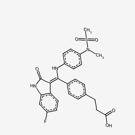 CN(c1ccc(N/C(=C2\C(=O)Nc3cc(F)ccc32)c2ccc(CCC(=O)O)cc2)cc1)S(C)(=O)=O